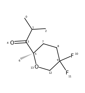 CC(C)C(=O)[C@@]1(C)CCC(F)(F)CO1